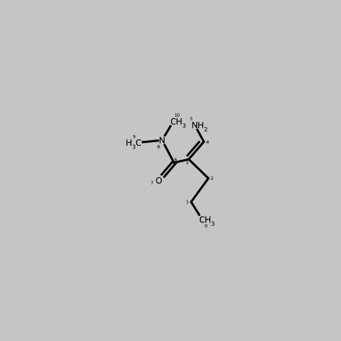 CCCC(=CN)C(=O)N(C)C